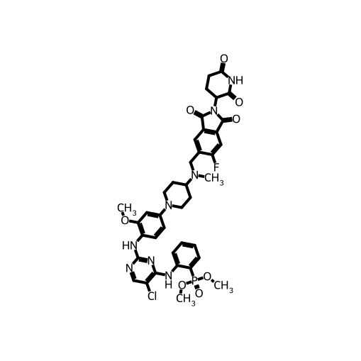 COc1cc(N2CCC(N(C)Cc3cc4c(cc3F)C(=O)N(C3CCC(=O)NC3=O)C4=O)CC2)ccc1Nc1ncc(Cl)c(Nc2ccccc2P(=O)(OC)OC)n1